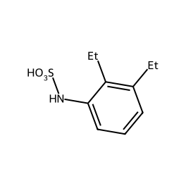 CCc1cccc(NS(=O)(=O)O)c1CC